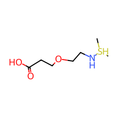 C[SH](C)NCCOCCC(=O)O